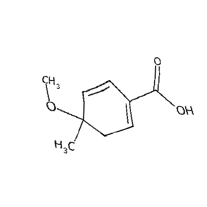 COC1(C)C=CC(C(=O)O)=CC1